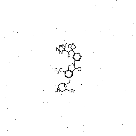 CC(C)C1CN(C)CCN1Cc1cc2c(c(C(F)(F)F)c1)CN(c1cccc(C3(C(F)c4nncn4C)CCO3)c1)C2=O